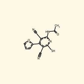 CC(=O)Nc1nc(S)c(C#N)c(-c2ccco2)c1C#N